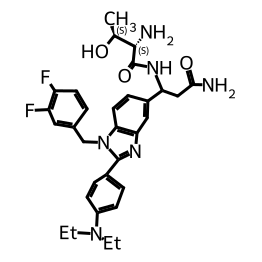 [CH2]CN(C[CH2])c1ccc(-c2nc3cc(C(CC(N)=O)NC(=O)[C@@H](N)[C@H](C)O)ccc3n2Cc2ccc(F)c(F)c2)cc1